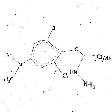 COC(NN)Oc1c(Cl)cc(N(C)C(C)=O)cc1Cl